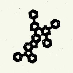 c1ccc(-c2cnc(-c3ccc4sc5c(ccc6c5c5ccccc5n6-c5ccccc5)c4c3)c(-c3nc(-c4ccccc4)nc(-c4ccccc4)n3)c2)cc1